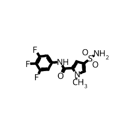 Cn1cc(S(N)(=O)=O)cc1C(=O)Nc1cc(F)c(F)c(F)c1